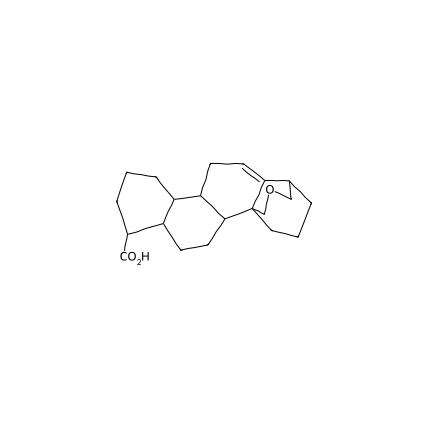 O=C(O)C1CCCC2C1CCC1C2CC=C2C3CCCC21COC3